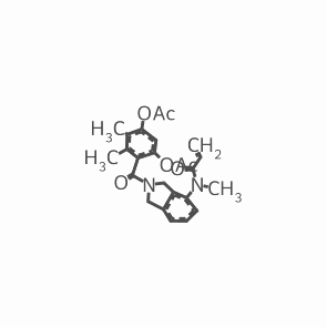 C=CC(=O)N(C)c1cccc2c1CN(C(=O)c1c(OC(C)=O)cc(OC(C)=O)c(C)c1C)C2